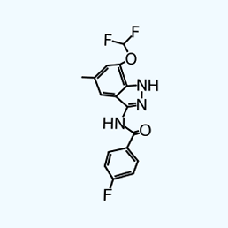 Cc1cc(OC(F)F)c2[nH]nc(NC(=O)c3ccc(F)cc3)c2c1